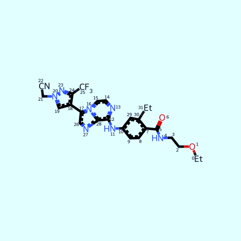 CCOCCNC(=O)c1ccc(Nc2nccn3c(-c4cn(CC#N)nc4C(F)(F)F)cnc23)cc1CC